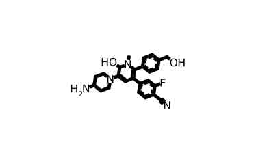 CN1C(c2ccc(CO)cc2)=C(c2ccc(C#N)c(F)c2)C=C(N2CCC(N)CC2)C1O